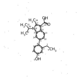 CCc1cc(O)ccc1-c1ccc2c(C(=O)O)c(C)n(C(C)C)c2c1